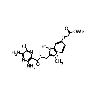 CCn1c(CNC(=O)c2nc(Cl)c(N)nc2N)[n+](C)c2ccc(OCC(=O)OC)cc21